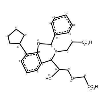 O=C(O)CCSC(c1cccc(C2CCCC2)c1OCc1ccccc1)C(O)COCC(=O)O